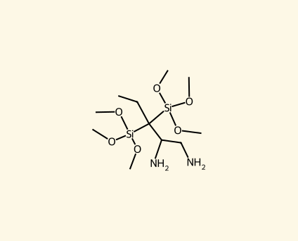 CCC(C(N)CN)([Si](OC)(OC)OC)[Si](OC)(OC)OC